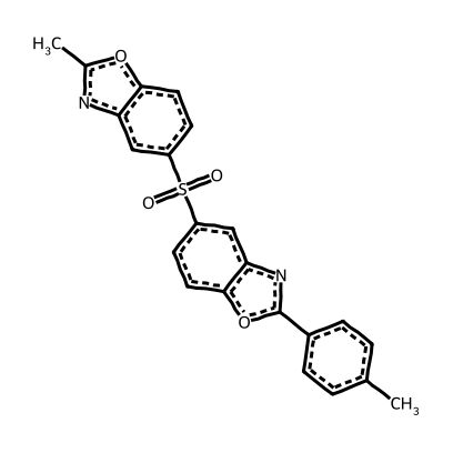 Cc1ccc(-c2nc3cc(S(=O)(=O)c4ccc5oc(C)nc5c4)ccc3o2)cc1